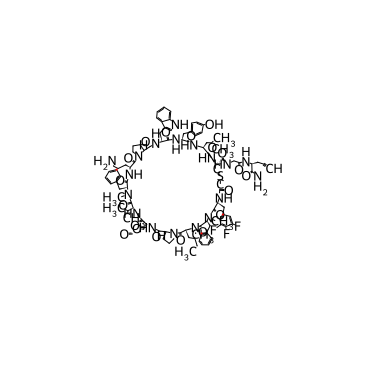 C#CC[C@H](NC(=O)CNC(=O)[C@@H]1CSCC(=O)N[C@@H](Cc2cc(F)c(F)c(F)c2)C(=O)N(C)[C@@H](Cc2ccccc2)C(=O)N(C)[C@@H](CCCC)C(=O)N2CCC[C@@H]2C(=O)N[C@@H](COC=O)C(=O)N[C@@H](C(C)C)C(=O)N(C)[C@@H](Cc2ccccc2)C(=O)N[C@@H](CCCN)C(=O)N2CCC[C@@H]2C(=O)N[C@@H](Cc2c[nH]c3ccccc23)C(=O)N[C@@H](Cc2ccc(O)cc2)C(=O)N[C@@H](CC(C)C)C(=O)N1)C(N)=O